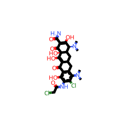 CN(C)c1c(Cl)c(NC(=O)CCl)c(O)c2c1CC1CC3[C@H](N(C)C)C(O)=C(C(N)=O)C(=O)[C@@]3(O)C(O)=C1C2=O